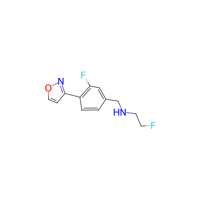 FCCNCc1ccc(-c2ccon2)c(F)c1